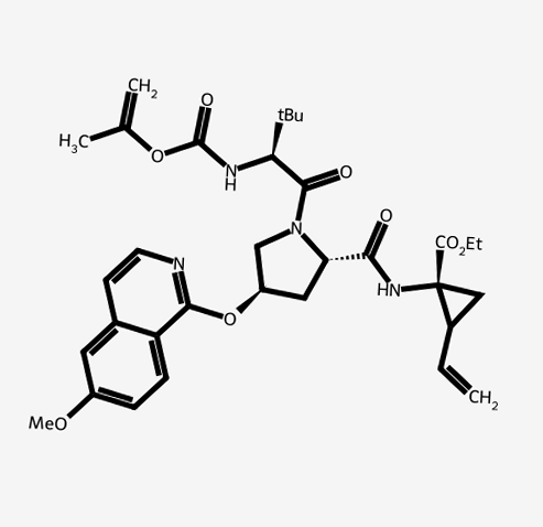 C=CC1C[C@]1(NC(=O)[C@@H]1C[C@@H](Oc2nccc3cc(OC)ccc23)CN1C(=O)[C@@H](NC(=O)OC(=C)C)C(C)(C)C)C(=O)OCC